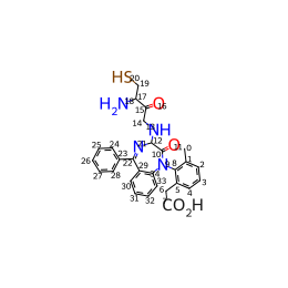 Cc1cccc(CC(=O)O)c1N1C(=O)C(NCC(=O)C(N)CS)N=C(c2ccccc2)c2ccccc21